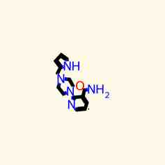 NC(=O)c1c[c]cnc1N1CCN(Cc2ccc[nH]2)CC1